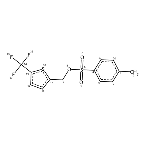 Cc1ccc(S(=O)(=O)OCc2ccc(C(F)(F)F)s2)cc1